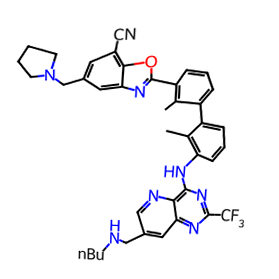 CCCCNCc1cnc2c(Nc3cccc(-c4cccc(-c5nc6cc(CN7CCCC7)cc(C#N)c6o5)c4C)c3C)nc(C(F)(F)F)nc2c1